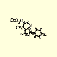 CCOC(=O)c1cnc2c(c(C)nn2-c2ccc(C)cc2)c1Cl